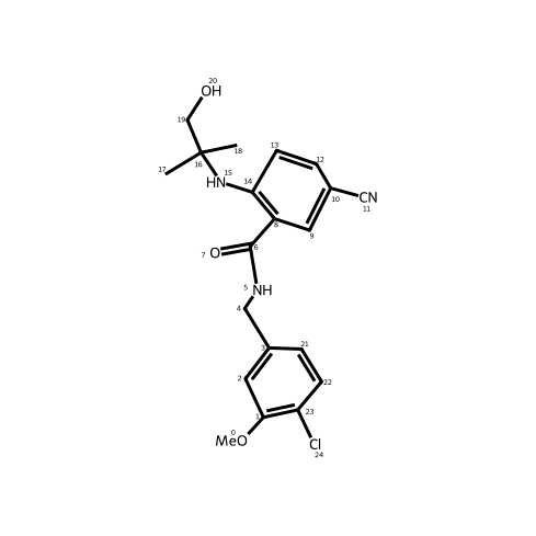 COc1cc(CNC(=O)c2cc(C#N)ccc2NC(C)(C)CO)ccc1Cl